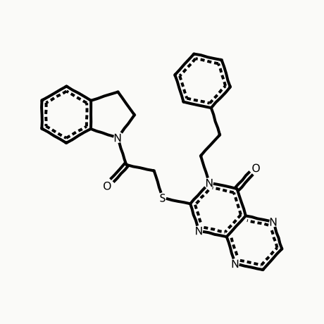 O=C(CSc1nc2nccnc2c(=O)n1CCc1ccccc1)N1CCc2ccccc21